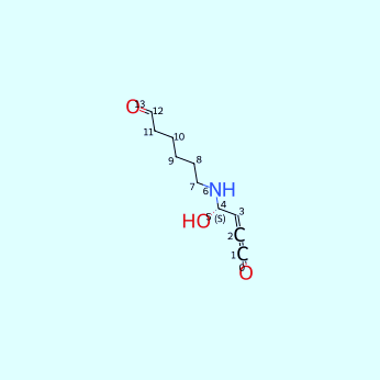 O=C=C=C[C@H](O)NCCCCCC=O